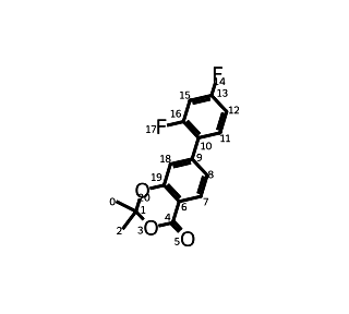 CC1(C)OC(=O)c2ccc(-c3ccc(F)cc3F)cc2O1